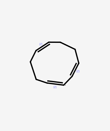 [C]1=C\CC/C=C\CC\C=C/1